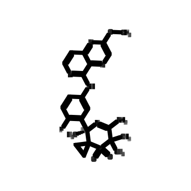 COc1cnc2c(Nc3ccc(F)c([C@@]4(C)N=C(N)C(C)(C)S(=O)(=O)C45CC5)c3)nccc2n1